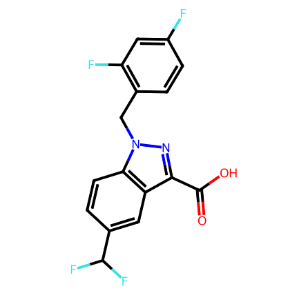 O=C(O)c1nn(Cc2ccc(F)cc2F)c2ccc(C(F)F)cc12